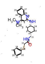 CN(C)c1cc(N[C@H]2CC[C@@H](CNC(=O)CSc3ccccc3)CC2)nc2ccccc12